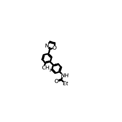 CCC(=O)Nc1ccc(-c2cc(-c3ncco3)ccc2C)cc1